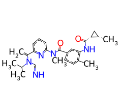 C=C(c1cccc(N(C)C(=O)c2ccc(C)c(NC(=O)[C@@H]3C[C@@H]3C)c2)n1)N(C=N)C(C)C